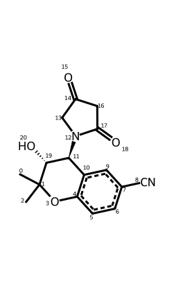 CC1(C)Oc2ccc(C#N)cc2[C@H](N2CC(=O)CC2=O)[C@H]1O